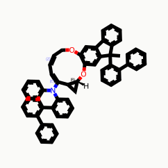 CC1(c2ccccc2-c2ccccc2)c2ccccc2-c2cc3c(cc21)O[C@@H]1CC1/C(N(c1ccccc1)c1ccccc1-c1ccccc1-c1ccccc1)=C\C=C/CO3